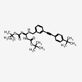 CC(C)(C)OC(=O)/N=C(/NCc1cccc(C#Cc2ccc(C(C)(C)C)cc2)c1)NC(=O)OC(C)(C)C